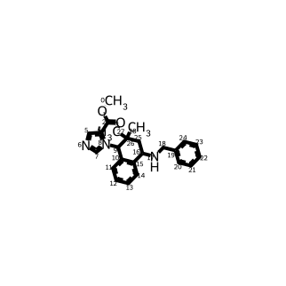 COC(=O)c1cncn1C1c2ccccc2C(NCc2ccccc2)CC1(C)C